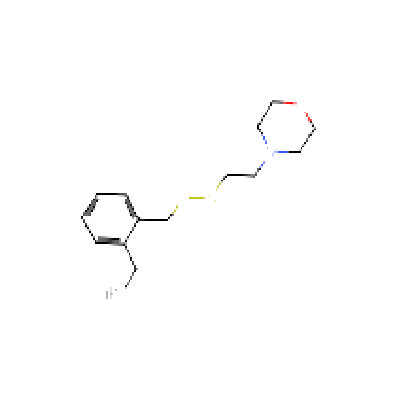 CC(C)Cc1ccccc1CSSCCN1CCOCC1